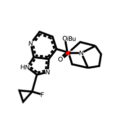 CC(C)COC(=O)N1C2CCC1CN(c1ccnc3[nH]c(C4(F)CC4)nc13)C2